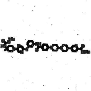 COC(=O)c1ccc(C2=CCN(C3CCN(c4ccc(C(=O)Nc5cccc(Sc6cnc(N7C=CC(C)(NC(=O)OC(C)(C)C)C=C7)cn6)c5)cc4)CC3)CC2)cn1